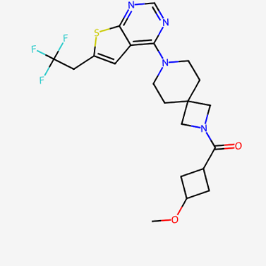 COC1CC(C(=O)N2CC3(CCN(c4ncnc5sc(CC(F)(F)F)cc45)CC3)C2)C1